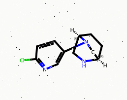 Clc1ccc(N2C[C@H]3CC[C@@H]2CN3)cn1